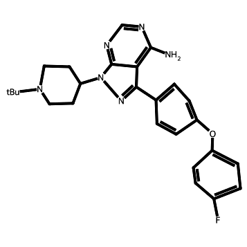 CC(C)(C)N1CCC(n2nc(-c3ccc(Oc4ccc(F)cc4)cc3)c3c(N)ncnc32)CC1